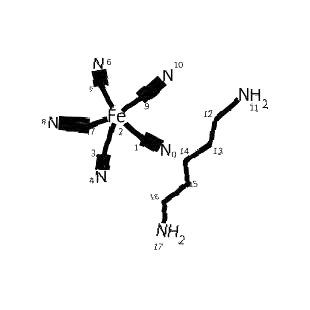 N#[C][Fe]([C]#N)([C]#N)([C]#N)[C]#N.NCCCCCN